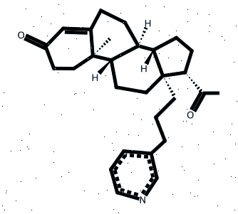 CC(=O)[C@H]1CC[C@H]2[C@@H]3CCC4=CC(=O)CC[C@]4(C)[C@H]3CC[C@]12CCCc1cccnc1